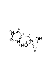 O=P(O)(O)Cc1cnsn1